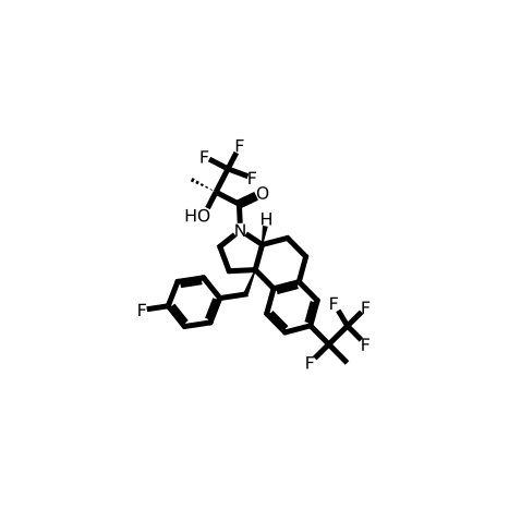 CC(F)(c1ccc2c(c1)CC[C@H]1N(C(=O)[C@@](C)(O)C(F)(F)F)CC[C@@]21Cc1ccc(F)cc1)C(F)(F)F